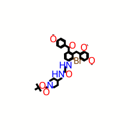 COc1ccc(C(=O)c2ccc(NCC(=O)NCC3CCN(C(=O)OC(C)(C)C)CC3)c(Br)c2Cc2ccc(OC)cc2OC)cc1